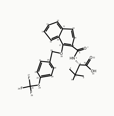 CC(C)(C)[C@H](NC(=O)c1ccc2ccccc2c1OCc1ccc(SC(F)(F)F)cc1)C(=O)O